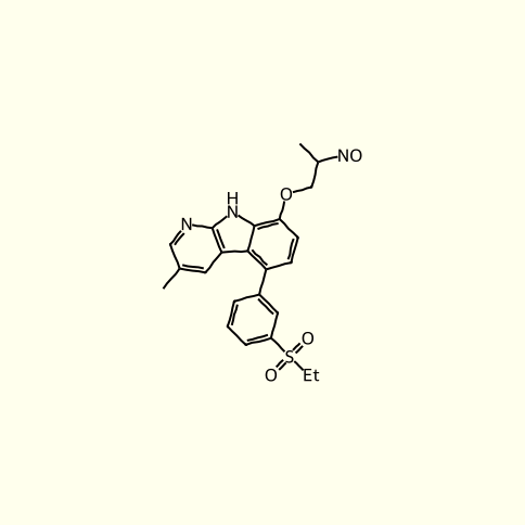 CCS(=O)(=O)c1cccc(-c2ccc(OCC(C)N=O)c3[nH]c4ncc(C)cc4c23)c1